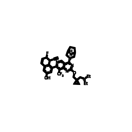 C#CC1c2c(cc(O)cc2-c2ncc3c(N4CC5CCC(C4)N5)nc(OCC4(CN(CC)CC)CC4)nc3c2C(F)(F)F)C=CC1F